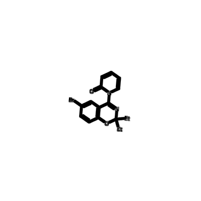 CCC1(CC)N=C(n2ccccc2=O)c2cc(Br)ccc2O1